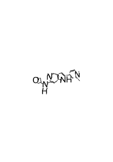 Cc1cc(-c2cc3cnc(NC4COC4)cc3[nH]2)ccn1